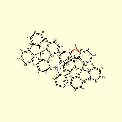 c1ccc(N(c2ccc3oc4cccc(C5(c6ccccc6)c6ccccc6-c6ccccc65)c4c3c2)c2cccc3c2-c2ccccc2C32c3ccccc3-c3ccccc32)cc1